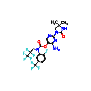 CC1(C)CN(c2ncc(OC(=O)N(CC(F)(F)C(F)(F)F)c3cc(C(F)(F)F)ccc3F)c(N)n2)C(=O)N1